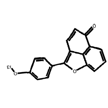 CCOc1ccc(-c2oc3cccc4c3c2C=CC4=O)cc1